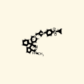 CNC(=O)C1CCCC1C(C#N)(c1ccccc1)C1CCN(CC2CN(c3ccc(S(=O)(=O)C4CC4)cc3)C2)CC1